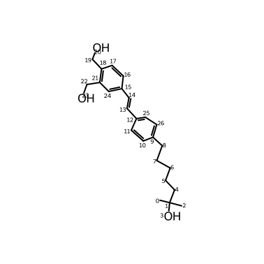 CC(C)(O)CCCCCc1ccc(/C=C/c2ccc(CO)c(CO)c2)cc1